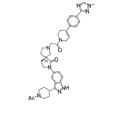 CC(=O)N1CCC(c2n[nH]c3ccc(N4CC[C@]5(CCN(CC(=O)N6CC=C(c7ccc(-c8ncn(C)n8)cc7)CC6)C5)C4=O)cc23)CC1